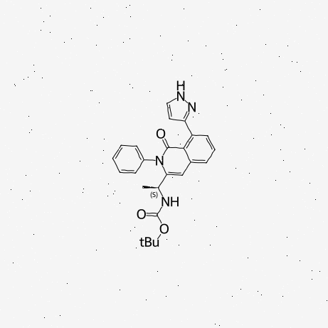 C[C@H](NC(=O)OC(C)(C)C)c1cc2cccc(-c3cc[nH]n3)c2c(=O)n1-c1ccccc1